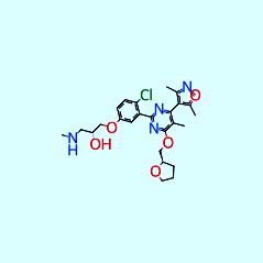 CNC[C@@H](O)COc1ccc(Cl)c(-c2nc(OC[C@H]3CCCO3)c(C)c(-c3c(C)noc3C)n2)c1